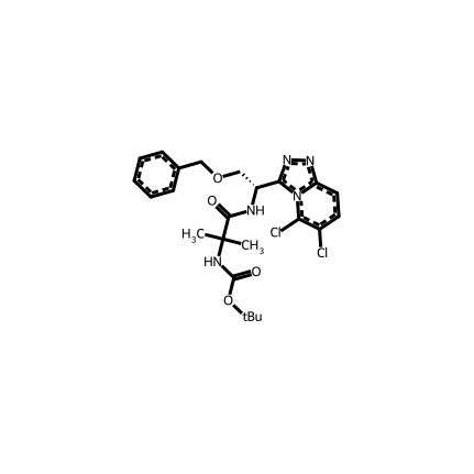 CC(C)(C)OC(=O)NC(C)(C)C(=O)N[C@H](COCc1ccccc1)c1nnc2ccc(Cl)c(Cl)n12